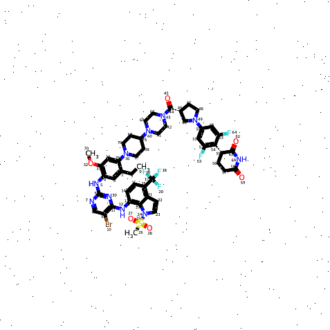 CCc1cc(Nc2ncc(Br)c(Nc3ccc(C(F)(F)F)c4ccn(S(C)(=O)=O)c34)n2)c(OC)cc1N1CCC(N2CCN(C(=O)[C@@H]3CCN(c4cc(F)c([C@H]5CCC(=O)NC5=O)c(F)c4)C3)CC2)CC1